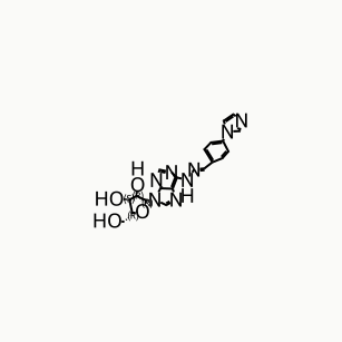 OC[C@H]1O[C@@H](n2cnc3c(NN=Cc4ccc(-n5ccnc5)cc4)ncnc32)[C@H](O)[C@@H]1O